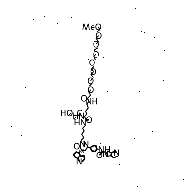 COCCOCCOCCOCCOCCOCCOCCOCCC(=O)NCCCCC(NC(=O)O)C(=O)NCCCCCCN1N=C(c2ccc(NC(=O)N3Cc4ccncc4C3)cc2)C[C@@H](c2cccc3ncccc23)C1=O